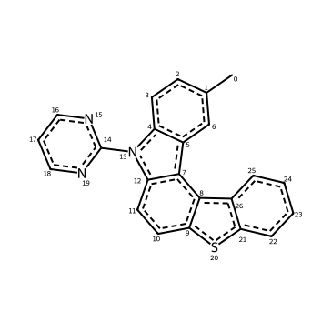 Cc1ccc2c(c1)c1c3c(ccc1n2-c1ncccn1)sc1ccccc13